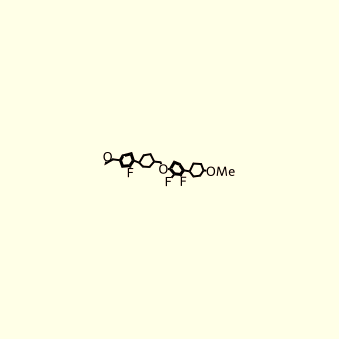 COC1CCC(c2ccc(OCC3CCC(c4ccc(C5CO5)cc4F)CC3)c(F)c2F)CC1